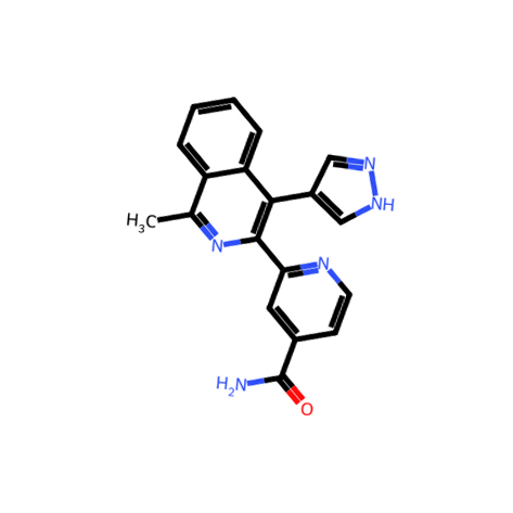 Cc1nc(-c2cc(C(N)=O)ccn2)c(-c2cn[nH]c2)c2ccccc12